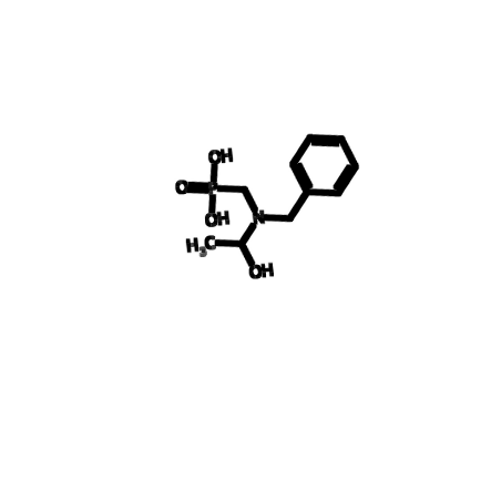 CC(O)N(Cc1ccccc1)CP(=O)(O)O